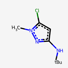 Cn1nc(NC(C)(C)C)cc1Cl